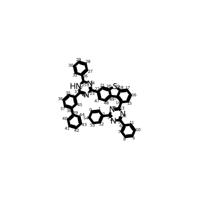 C1=CC(c2nc(-c3ccccc3)nc(-c3cccc4sc5cc(C6=NC(c7ccccc7)NC(c7cccc(-c8ccccc8)c7)=N6)ccc5c34)n2)=CCC1